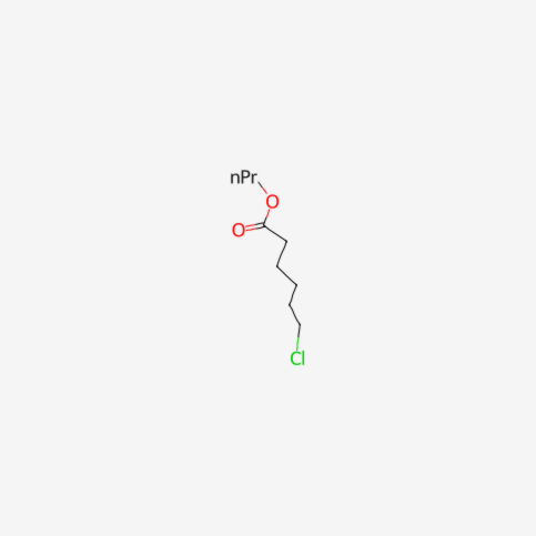 CCCOC(=O)CCCCCCl